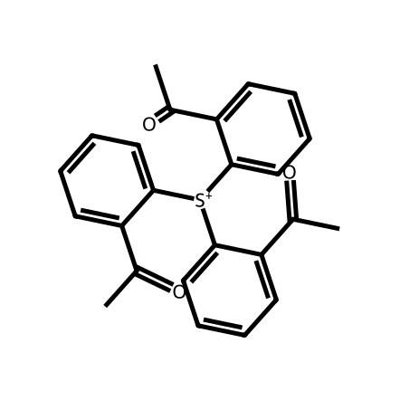 CC(=O)c1ccccc1[S+](c1ccccc1C(C)=O)c1ccccc1C(C)=O